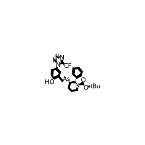 CC(C)(C)OC(=O)N1CCC[C@H]([As]=Cc2cc(-n3nnnc3C(F)(F)F)ccc2O)[C@@H]1c1ccccc1